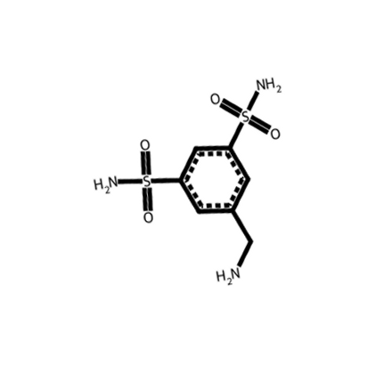 NCc1cc(S(N)(=O)=O)cc(S(N)(=O)=O)c1